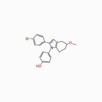 COC1CCc2c(cc(-c3ccc(Br)cc3)n2-c2ccc(O)cc2)C1